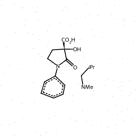 CNCC(C)C.O=C(O)[C@]1(O)CCN(c2ccccc2)C1=O